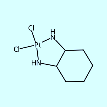 [Cl][Pt]1([Cl])[NH]C2CCCCC2[NH]1